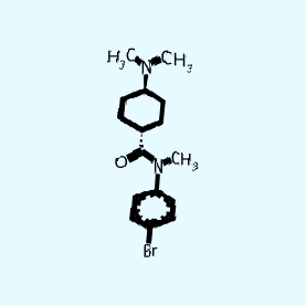 CN(c1ccc(Br)cc1)C(=O)[C@H]1CC[C@H](N(C)C)CC1